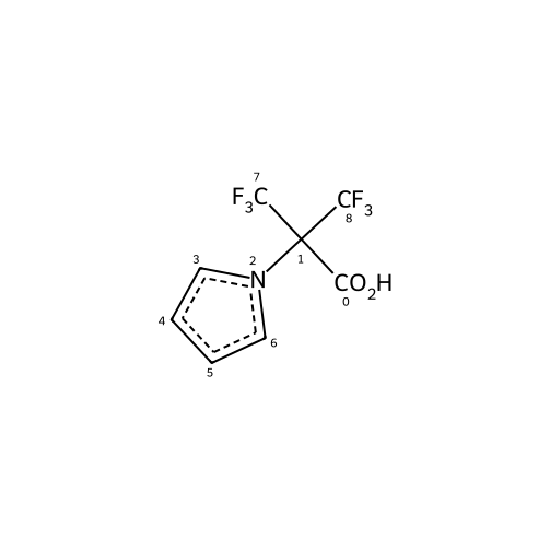 O=C(O)C(n1cccc1)(C(F)(F)F)C(F)(F)F